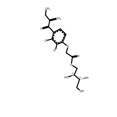 C=C(CC)C(=O)c1ccc(OCC(=O)OC[C@H](O)[C@H](O)CO)c(Cl)c1Cl